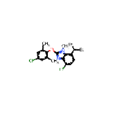 CCC(CC)c1ccc(Cl)c2nc(Oc3c(C)cc(Cl)cc3C)n(C)c12